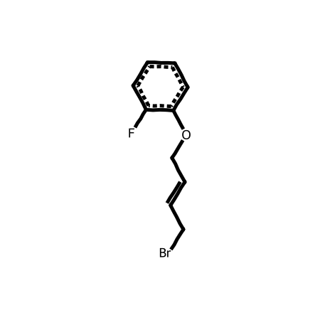 Fc1ccccc1OC/C=C/CBr